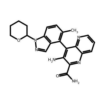 Cc1ccc2c(cnn2C2CCCCO2)c1-c1c(N)c(C(N)=O)nc2cccnc12